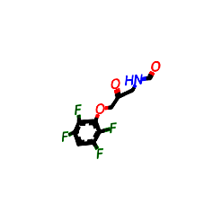 O=CNCC(=O)COc1c(F)c(F)cc(F)c1F